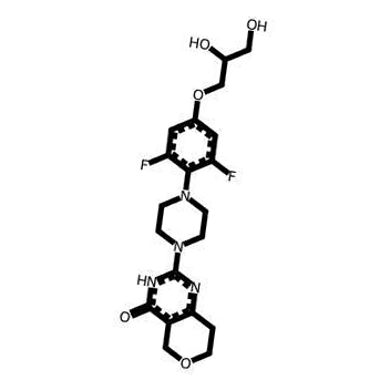 O=c1[nH]c(N2CCN(c3c(F)cc(OCC(O)CO)cc3F)CC2)nc2c1COCC2